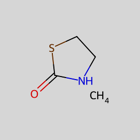 C.O=C1NCCS1